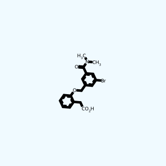 CN(C)C(=O)c1cc(Br)cc(COc2ccccc2CC(=O)O)c1